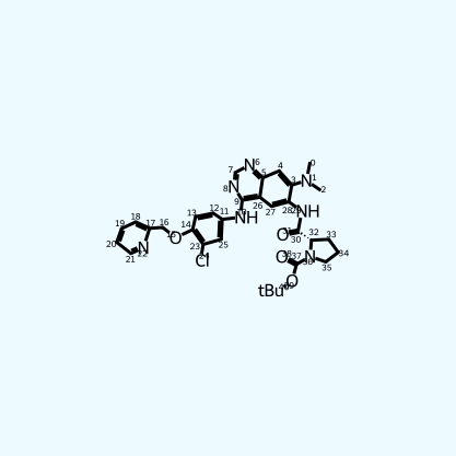 CN(C)c1cc2ncnc(Nc3ccc(OCc4ccccn4)c(Cl)c3)c2cc1NC(=O)[C@@H]1CCCN1C(=O)OC(C)(C)C